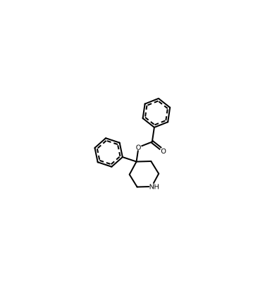 O=C(OC1(c2ccccc2)CCNCC1)c1ccccc1